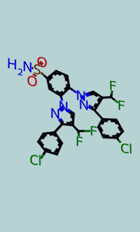 NS(=O)(=O)c1ccc(-n2cc(C(F)F)c(-c3ccc(Cl)cc3)n2)c(-n2cc(C(F)F)c(-c3ccc(Cl)cc3)n2)c1